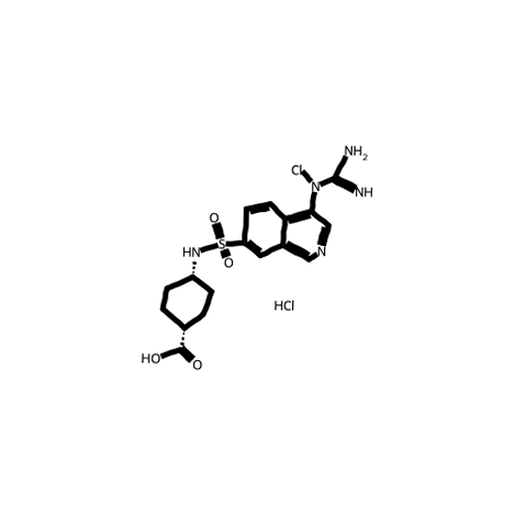 Cl.N=C(N)N(Cl)c1cncc2cc(S(=O)(=O)N[C@H]3CC[C@@H](C(=O)O)CC3)ccc12